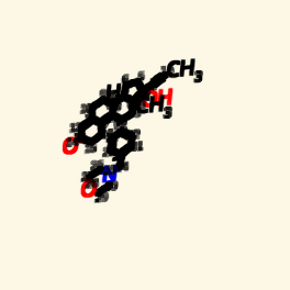 CC#C[C@]1(O)CCC2[C@@H]3CCC4=CC(=O)CCC4=C3[C@@H](c3ccc(CN4CCOCC4)cc3)C[C@@]21C